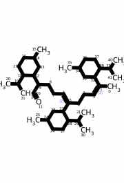 C/C(=C/CC/C(=C/CCC(C=O)C1CC(C)CCC1C(C)C)C1CC(C)CCC1C(C)C)C1CC(C)CCC1C(C)C